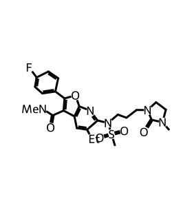 CCc1cc2c(C(=O)NC)c(-c3ccc(F)cc3)oc2nc1N(CCCN1CCN(C)C1=O)S(C)(=O)=O